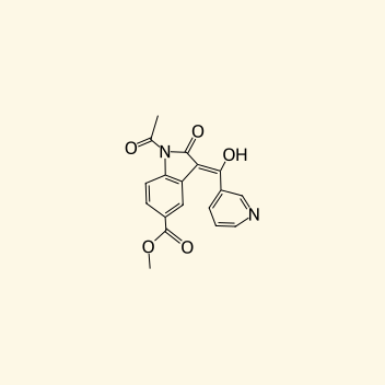 COC(=O)c1ccc2c(c1)/C(=C(/O)c1cccnc1)C(=O)N2C(C)=O